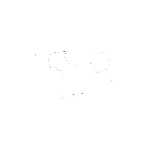 Cc1ccc(N)c(B2OC(C)(C)C(C)(C)O2)c1.Cc1ccc(N)c(Br)c1